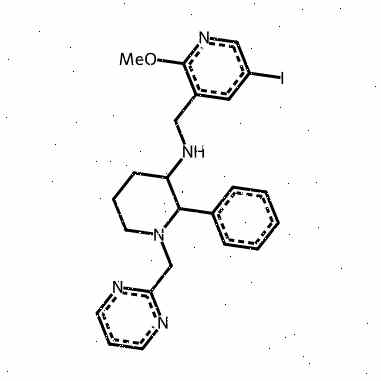 COc1ncc(I)cc1CNC1CCCN(Cc2ncccn2)C1c1ccccc1